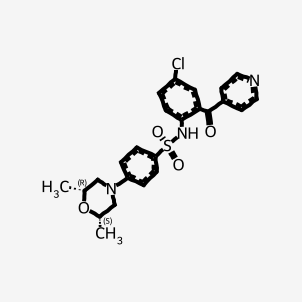 C[C@@H]1CN(c2ccc(S(=O)(=O)Nc3ccc(Cl)cc3C(=O)c3ccncc3)cc2)C[C@H](C)O1